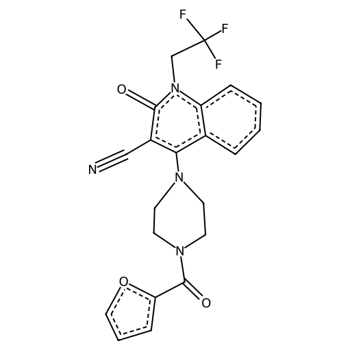 N#Cc1c(N2CCN(C(=O)c3ccco3)CC2)c2ccccc2n(CC(F)(F)F)c1=O